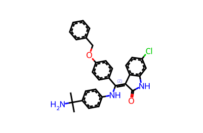 CC(C)(N)c1ccc(N/C(=C2\C(=O)Nc3cc(Cl)ccc32)c2ccc(OCc3ccccc3)cc2)cc1